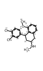 CNC1Cc2cccc(OC)c2C(c2ccc(Cl)c(Cl)c2)C1